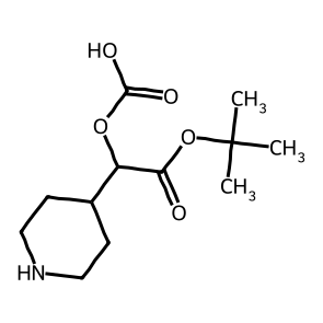 CC(C)(C)OC(=O)C(OC(=O)O)C1CCNCC1